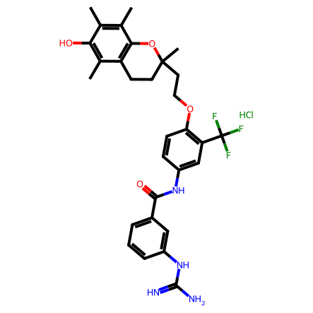 Cc1c(C)c2c(c(C)c1O)CCC(C)(CCOc1ccc(NC(=O)c3cccc(NC(=N)N)c3)cc1C(F)(F)F)O2.Cl